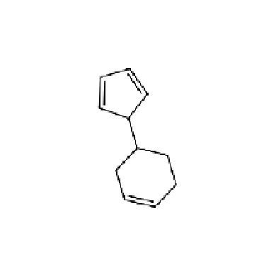 C1=CC([C]2CC=CCC2)C=C1